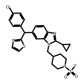 O=S(=O)(F)N1CCC(Cn2c(C3CC3)nc3ccc(C(c4ccc(Cl)cc4)c4nccs4)cc32)CC1